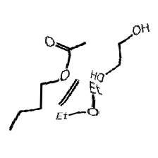 C=C.CCCCOC(C)=O.CCOCC.OCCO